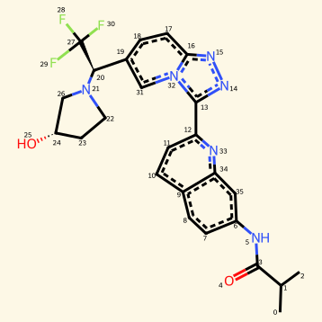 CC(C)C(=O)Nc1ccc2ccc(-c3nnc4ccc([C@@H](N5CC[C@H](O)C5)C(F)(F)F)cn34)nc2c1